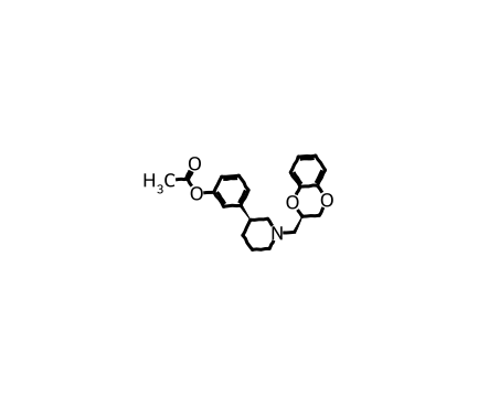 CC(=O)Oc1cccc([C@@H]2CCCN(C[C@@H]3COc4ccccc4O3)C2)c1